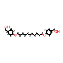 OCc1ccc(OCCCCCCCCCCCOc2ccc(CO)cc2)cc1